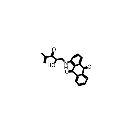 C=C(C)C(=O)C(O)CNc1cccc2c1C(=O)c1ccccc1C2=O